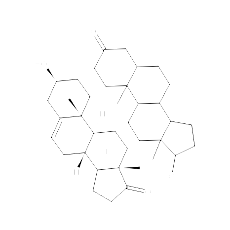 CC12CCC3C(CCC4CC(=O)CCC43C)C1CCC2O.C[C@]12CC[C@H](O)CC1=CC[C@@H]1[C@@H]2CC[C@]2(C)C(=O)CC[C@@H]12